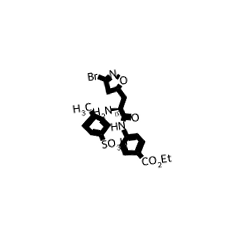 CCOC(=O)c1ccc(NC(=O)[C@@H](N)CC2CC(Br)=NO2)cc1.Cc1ccc(S(=O)(=O)O)cc1